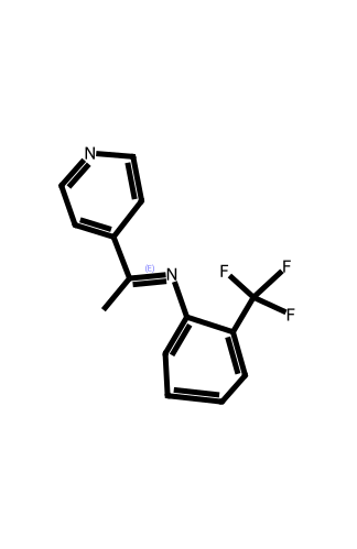 C/C(=N\c1ccccc1C(F)(F)F)c1ccncc1